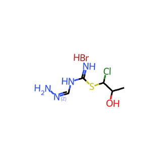 Br.CC(O)C(Cl)SC(=N)N/C=N\N